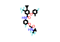 Cc1cc(F)ccc1Oc1cc(C2CC2)c(C(F)(F)F)cc1C(=O)Nc1ccc(F)c(OCC(=O)NC2(C(F)(F)F)CC2)c1